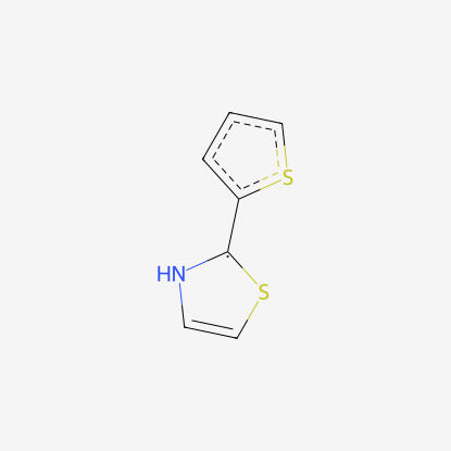 C1=CS[C](c2cccs2)N1